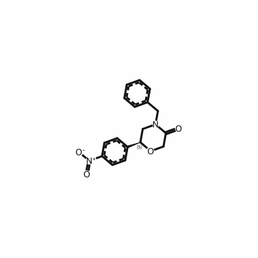 O=C1CO[C@@H](c2ccc([N+](=O)[O-])cc2)CN1Cc1ccccc1